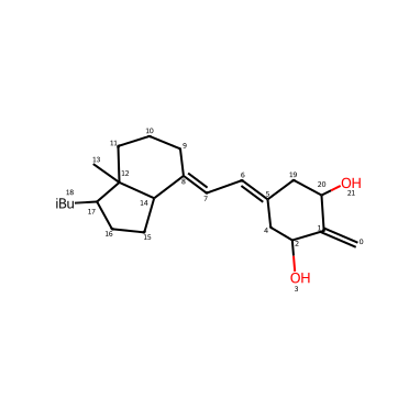 C=C1C(O)CC(=C/C=C2\CCCC3(C)C2CCC3C(C)CC)CC1O